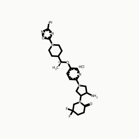 CC(C)c1noc(N2CCC([C@H](C)Oc3ccc(N4CC(N)C(N5CC(F)(F)CCC5=O)C4)nc3)CC2)n1.Cl